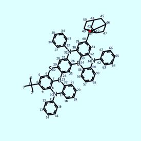 CC(C)(C)c1cc2c3c(c1)N(c1ccccc1)c1ccccc1B3c1cc3c(cc1S2)N(c1ccccc1)c1cc(N2C4CC5CC(C4)CC2C5)cc2c1B3c1ccccc1N2c1ccccc1